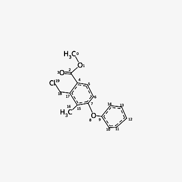 COC(=O)c1ccc(Oc2ccccc2)c(C)c1CCl